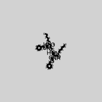 CCCCCCNC(=O)C(CSSCC(NC(=O)OCc1ccccc1)C(=O)NCCCCCC)NC(=O)OCc1ccccc1